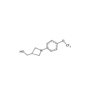 OCC1CN(c2ccc(OC(F)(F)F)cc2)C1